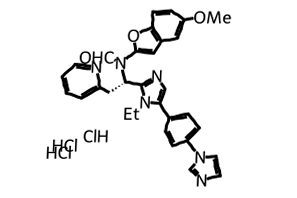 CCn1c(-c2ccc(-n3ccnc3)cc2)cnc1[C@H](Cc1ccccn1)N(C=O)c1cc2cc(OC)ccc2o1.Cl.Cl.Cl